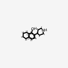 Oc1c(C2CCNCC2)ccc2c1CCCC2